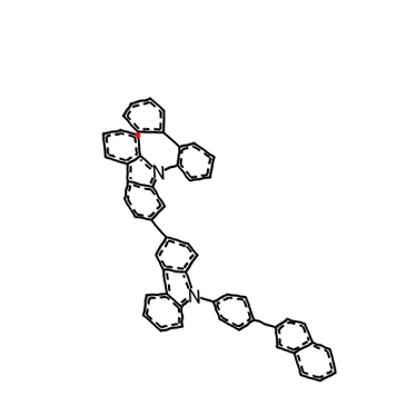 c1ccc(-c2ccccc2-n2c3ccccc3c3ccc(-c4ccc5c(c4)c4ccccc4n5-c4ccc(-c5ccc6ccccc6c5)cc4)cc32)cc1